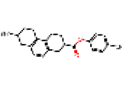 CCCC1CCc2c(ccc3c2CCC(C(=O)Oc2ccc(C#N)cc2)C3)C1